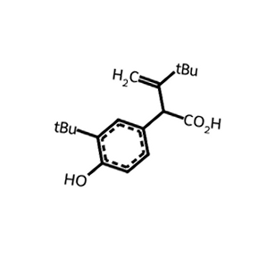 C=C(C(C(=O)O)c1ccc(O)c(C(C)(C)C)c1)C(C)(C)C